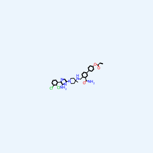 C=CC(=O)Oc1ccc(-c2ccc(CNC3(C)CCN(c4cnc(-c5cccc(Cl)c5Cl)c(N)n4)CC3)c(C(N)=O)c2)cc1